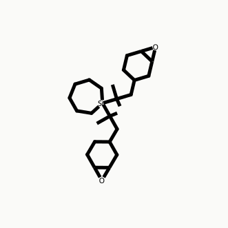 CC(C)(CC1CCC2OC2C1)[Si]1(C(C)(C)CC2CCC3OC3C2)CCCCCC1